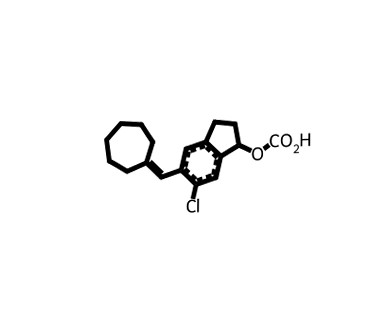 O=C(O)OC1CCc2cc(C=C3CCCCCC3)c(Cl)cc21